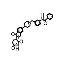 O=C1CCC(N2Cc3cc(C4CCN(Cc5cccc(NC(=O)c6ccccc6)c5)CC4)ccc3C2=O)C(=O)N1